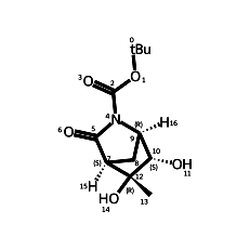 CC(C)(C)OC(=O)N1C(=O)[C@H]2C[C@@H]1[C@H](O)[C@]2(C)O